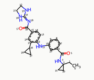 CCC1(NC(=O)c2cccc(Nc3ccc(C(=O)N=C4NCCN4)cc3C3CC3)c2)CC1